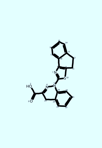 O=C(O)C1=NN(c2nc3c(s2)CCc2ccccc2-3)c2ccccc2C1